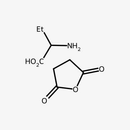 CCC(N)C(=O)O.O=C1CCC(=O)O1